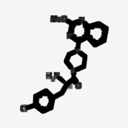 COc1nc(N2CCN(C(=O)[C@H](N)Cc3ccc(Cl)cc3)CC2)c2ccccc2n1